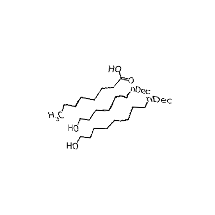 CCCCCCCC(=O)O.CCCCCCCCCCCCCCCCCCO.CCCCCCCCCCCCCCCCO